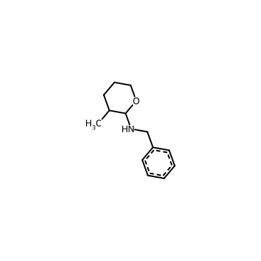 CC1CCCOC1NCc1ccccc1